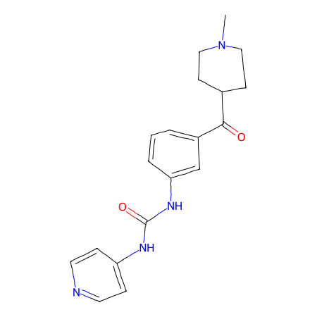 CN1CCC(C(=O)c2cccc(NC(=O)Nc3ccncc3)c2)CC1